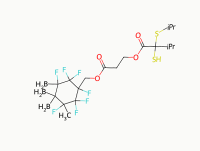 BC1(B)C(B)(F)C(F)(F)C(F)(COC(=O)CCOC(=O)C(S)(SC(C)C)C(C)C)C(F)(F)C1(C)F